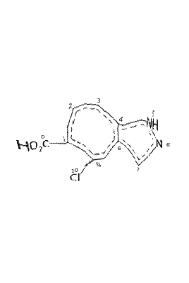 O=C(O)c1ccc2[nH]ncc2c1Cl